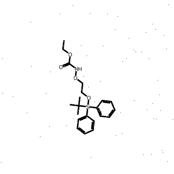 CCOC(=O)NOCCO[Si](c1ccccc1)(c1ccccc1)C(C)(C)C